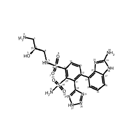 NC[C@H](O)CNS(=O)(=O)c1ccc(-c2cccc3[nH]c(N)nc23)c(-c2nn[nH]n2)c1S(N)(=O)=O